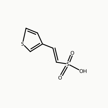 O=S(=O)(O)C=Cc1ccsc1